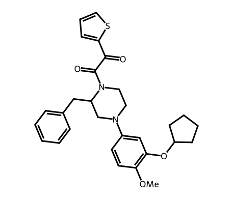 COc1ccc(N2CCN(C(=O)C(=O)c3cccs3)C(Cc3ccccc3)C2)cc1OC1CCCC1